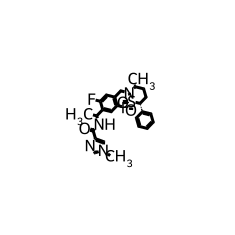 CC(NC(=O)c1cn(C)cn1)c1cc(F)c(CN2[C@@H](C)CC[C@H](c3ccccc3)S2(=O)=O)cc1F